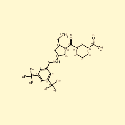 CC[C@@H]1C[C@H](NCc2cc(C(F)(F)F)cc(C(F)(F)F)c2)CN1C(=O)N1CCC[C@H](C(=O)O)C1